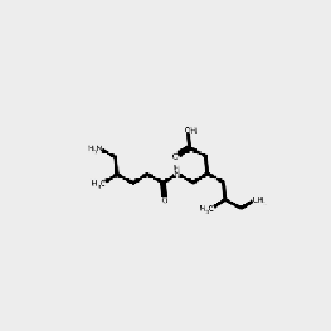 CCC(C)CC(CNC(=O)CCC(C)CN)CC(=O)O